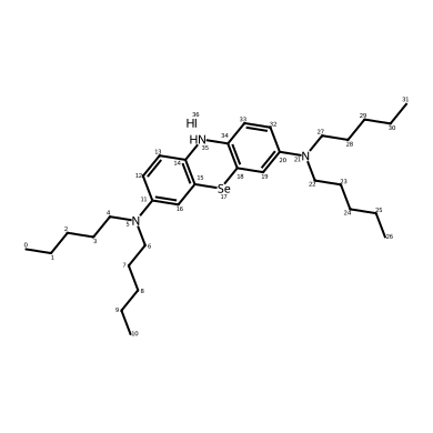 CCCCCN(CCCCC)c1ccc2c(c1)[Se]c1cc(N(CCCCC)CCCCC)ccc1N2.I